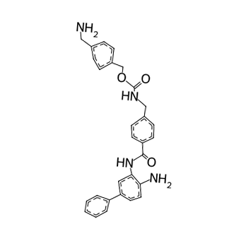 NCc1ccc(COC(=O)NCc2ccc(C(=O)Nc3cc(-c4ccccc4)ccc3N)cc2)cc1